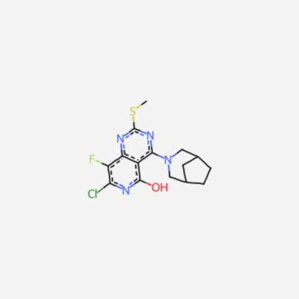 CSc1nc(N2CC3CCC(C3)C2)c2c(O)nc(Cl)c(F)c2n1